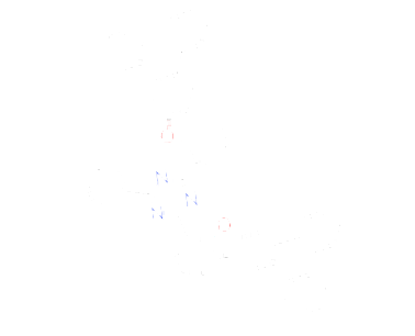 c1ccc(-c2nc(-c3cccc4c3oc3cc(-c5ccccc5)c(-c5ccccc5)cc34)nc(-c3cccc4c3oc3cc(-c5ccccc5)c(-c5ccccc5)cc34)n2)cc1